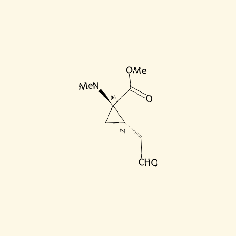 CN[C@]1(C(=O)OC)C[C@H]1CC=O